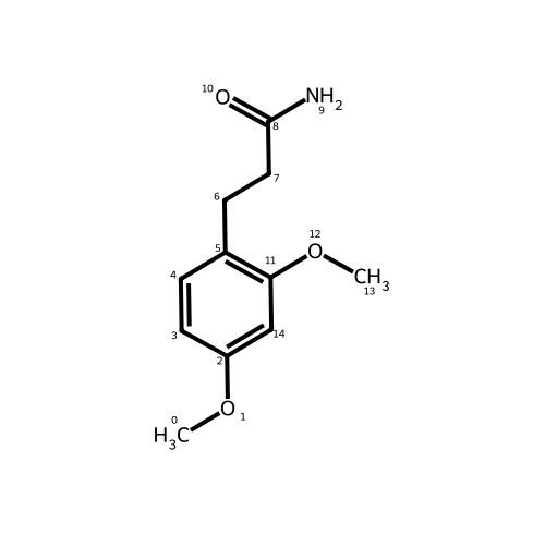 COc1ccc(CCC(N)=O)c(OC)c1